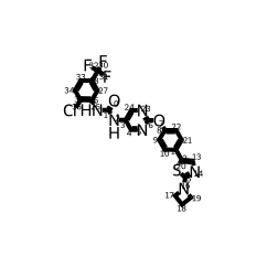 O=C(Nc1cnc(Oc2ccc(-c3cnc(N4CCC4)s3)cc2)nc1)Nc1cc(C(F)(F)F)ccc1Cl